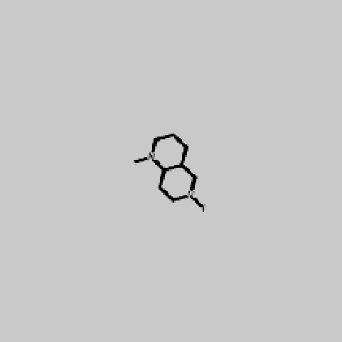 CN1CCCC2CN(I)CCC21